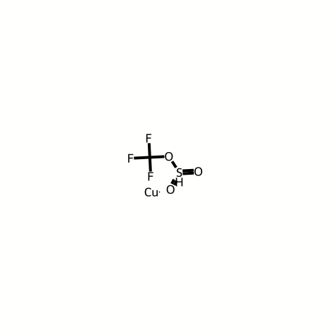 O=[SH](=O)OC(F)(F)F.[Cu]